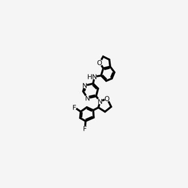 Fc1cc(F)cc(C2CCON2c2cc(Nc3cccc4c3OCC4)ncn2)c1